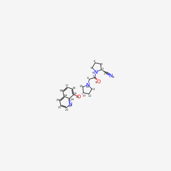 N#C[C@@H]1CCCN1C(=O)CN1CC[C@H](Oc2cccc3cccnc23)C1